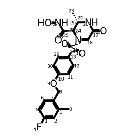 Cc1cc(F)ccc1COc1ccc(S(=O)(=O)N2CC(=O)N[C@@H](C)[C@@H]2C(=O)NO)cc1